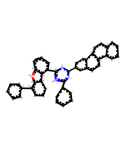 c1ccc(-c2nc(-c3ccc4c(ccc5c6ccccc6ccc45)c3)nc(-c3cccc4oc5c(-c6ccccc6)cccc5c34)n2)cc1